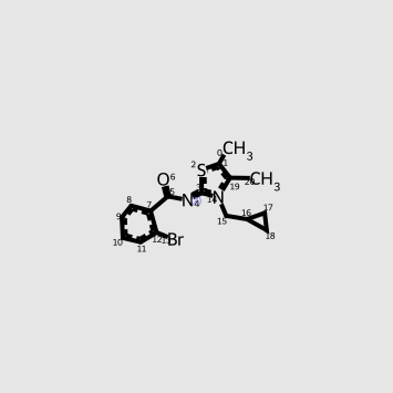 Cc1s/c(=N\C(=O)c2ccccc2Br)n(CC2CC2)c1C